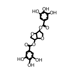 O=C(OC1COC2C(OC(=O)c3cc(O)c(O)c(O)c3)COC12)c1cc(O)c(O)c(O)c1